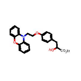 CCOC(=O)C(O)Cc1ccc(OCCN2c3ccccc3Oc3ccccc32)cc1